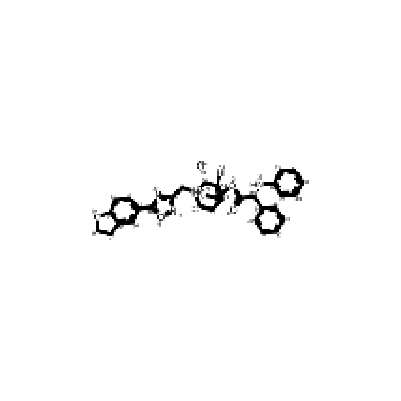 O=C(O[C@H]1C[N+]2(Cc3noc(-c4ccc5c(c4)CCO5)n3)CCC1CC2)[C@H](Nc1ccccc1)c1ccccc1.[Cl-]